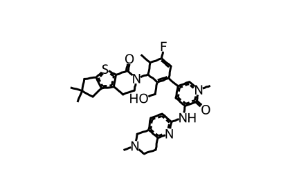 CC1C(F)=CC(c2cc(Nc3ccc4c(n3)CCN(C)C4)c(=O)n(C)c2)=C(CO)C1N1CCc2c(sc3c2CC(C)(C)C3)C1=O